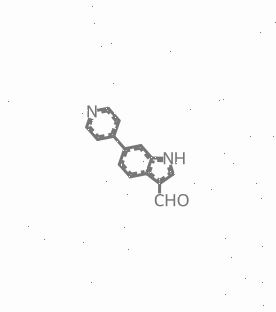 O=Cc1c[nH]c2cc(-c3ccncc3)ccc12